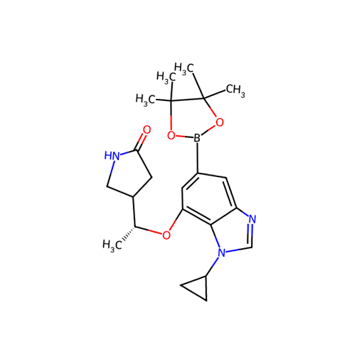 C[C@@H](Oc1cc(B2OC(C)(C)C(C)(C)O2)cc2ncn(C3CC3)c12)C1CNC(=O)C1